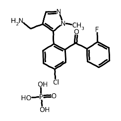 Cn1ncc(CN)c1-c1ccc(Cl)cc1C(=O)c1ccccc1F.O=P(O)(O)O